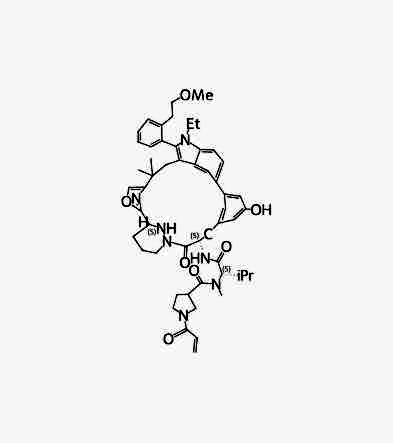 C=CC(=O)N1CCC(C(=O)N(C)[C@H](C(=O)N[C@H]2Cc3cc(O)cc(c3)-c3ccc4c(c3)c(c(-c3ccccc3CCOC)n4CC)CC(C)(C)c3coc(n3)[C@@H]3CCCN(N3)C2=O)C(C)C)C1